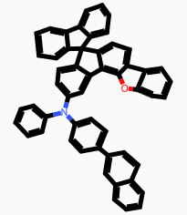 c1ccc(N(c2ccc(-c3ccc4ccccc4c3)cc2)c2ccc3c(c2)-c2c(ccc4c2oc2ccccc24)C32c3ccccc3-c3ccccc32)cc1